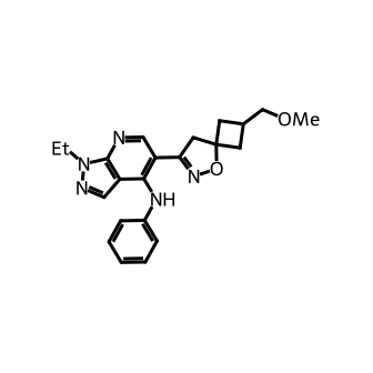 CCn1ncc2c(Nc3ccccc3)c(C3=NOC4(C3)CC(COC)C4)cnc21